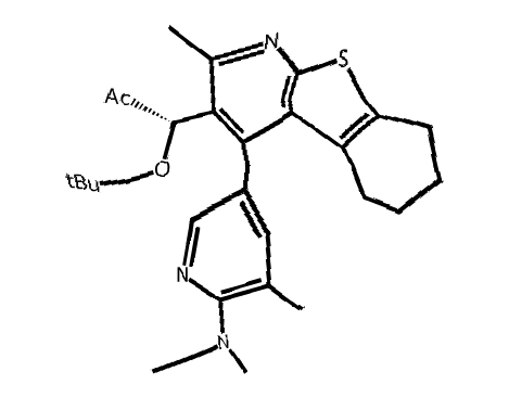 CC(=O)[C@@H](OC(C)(C)C)c1c(C)nc2sc3c(c2c1-c1cnc(N(C)C)c(C)c1)CCCC3